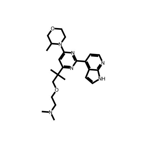 CC1COCCN1c1cc(C(C)(C)COCCN(C)C)nc(-c2ccnc3[nH]ccc23)n1